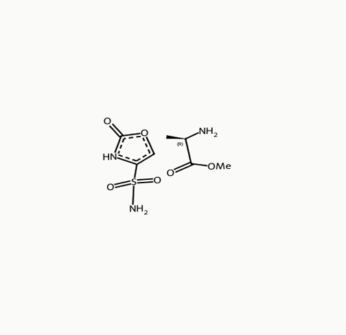 COC(=O)[C@@H](C)N.NS(=O)(=O)c1coc(=O)[nH]1